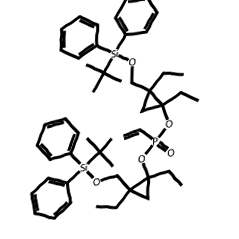 C=CP(=O)(OC1(CC)CC1(CC)CO[Si](c1ccccc1)(c1ccccc1)C(C)(C)C)OC1(CC)CC1(CC)CO[Si](c1ccccc1)(c1ccccc1)C(C)(C)C